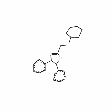 c1ccc(C2N=C(COC3CCCCC3)NC2c2cccnc2)cc1